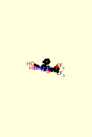 Cc1ccccc1-c1cc(NC[C@H](O)CO)ncc1N(C)C(=O)C(C)(C)c1cc(C(F)(F)F)cc(C(F)(F)F)c1